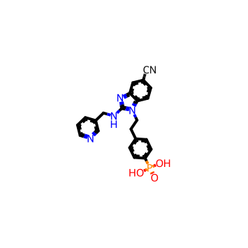 N#Cc1ccc2c(c1)nc(NCc1cccnc1)n2CCc1ccc(P(=O)(O)O)cc1